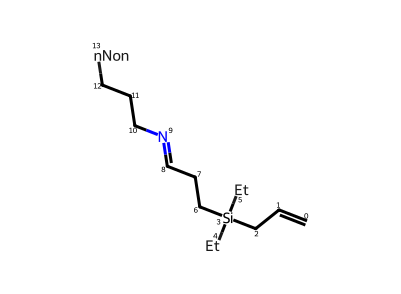 C=CC[Si](CC)(CC)CCC=NCCCCCCCCCCCC